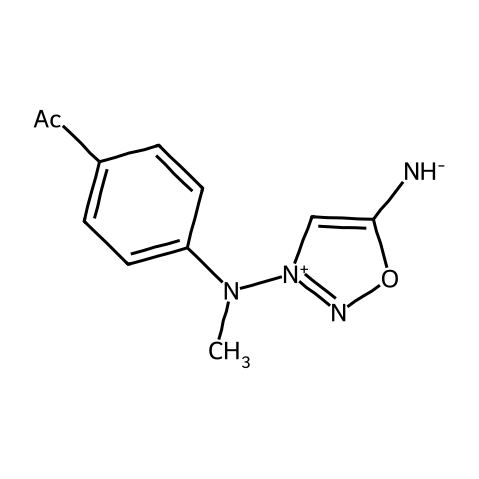 CC(=O)c1ccc(N(C)[n+]2cc([NH-])on2)cc1